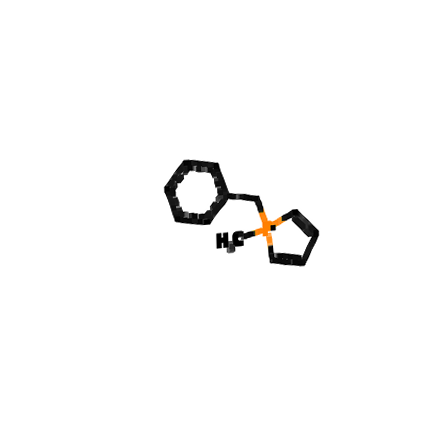 C[P]1(Cc2ccccc2)C=CC=C1